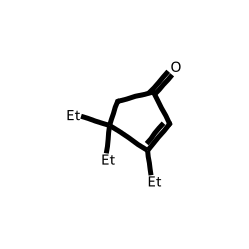 CCC1=CC(=O)CC1(CC)CC